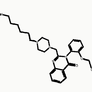 CCOc1ccccc1-n1c(CN2CCN(CCCCCCN)CC2)nc2ccccc2c1=O